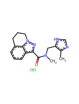 Cc1nc[nH]c1CN(C)C(=O)c1nn2c3c(cccc13)CCC2.Cl